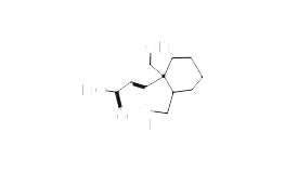 O=C(O)/C=C/C1(CO)CCCCC1CO